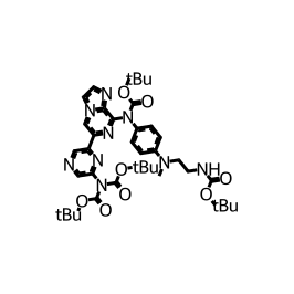 CN(CCNC(=O)OC(C)(C)C)c1ccc(N(C(=O)OC(C)(C)C)c2nc(-c3cncc(N(C(=O)OC(C)(C)C)C(=O)OC(C)(C)C)n3)cn3ccnc23)cc1